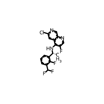 C[C@@H](Nc1c(F)cnc2cnc(Cl)cc12)c1cccc(C(F)F)c1F